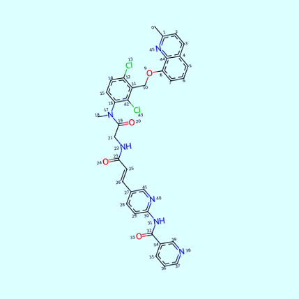 Cc1ccc2cccc(OCc3c(Cl)ccc(N(C)C(=O)CNC(=O)C=Cc4ccc(NC(=O)c5cccnc5)nc4)c3Cl)c2n1